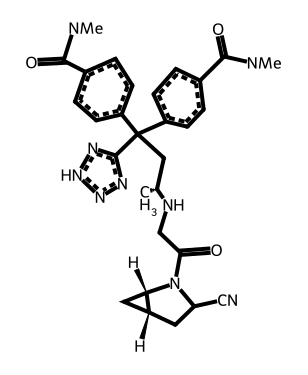 CNC(=O)c1ccc(C(C[C@@H](C)NCC(=O)N2C(C#N)C[C@@H]3C[C@@H]32)(c2ccc(C(=O)NC)cc2)c2nn[nH]n2)cc1